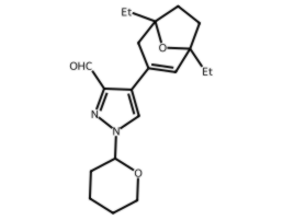 CCC12C=C(c3cn(C4CCCCO4)nc3C=O)CC(CC)(CC1)O2